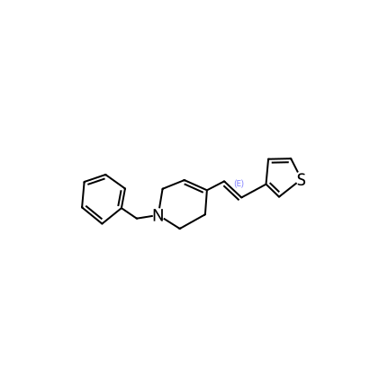 C1=C(/C=C/c2ccsc2)CCN(Cc2ccccc2)C1